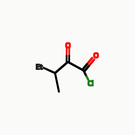 CCC(C)C(=O)C(=O)Cl